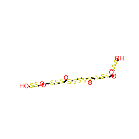 O=C(CSCSCSCC[S+]([O-])CSCSCSCSC(=O)CSCSCSCCOOCSCSCO)OCSCSCO